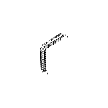 O=C(OC(=O)C(F)(F)C(F)(F)C(F)(F)C(F)(F)C(F)(F)C(F)(F)C(F)(F)C(F)(F)C(F)(F)C(F)(F)C(F)(F)F)C(F)(F)C(F)(F)C(F)(F)C(F)(F)C(F)(F)C(F)(F)C(F)(F)C(F)(F)C(F)(F)C(F)(F)C(F)(F)F